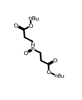 CCCCOC(=O)CC[PH](=O)CCC(=O)OCCCC